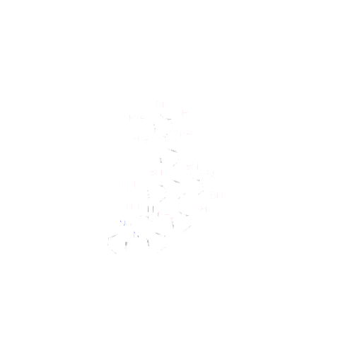 Bc1c(B)c(B)c(-c2ccc(-c3c4c(B)c(B)c(B)c(B)c4c(-c4cccc(-c5cccc(-n6c(CC)nc7ccccc76)c5)c4)c4c(B)c(B)c(B)c(B)c34)cc2)c(B)c1B